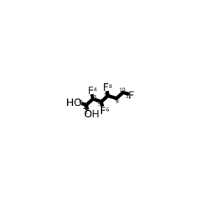 OC(O)C(F)C(F)C(F)CCF